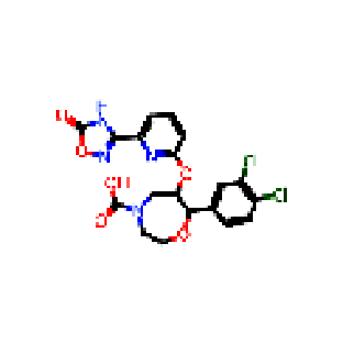 O=C(O)N1CCOC(c2ccc(Cl)c(Cl)c2)C(Oc2cccc(-c3noc(=O)[nH]3)n2)C1